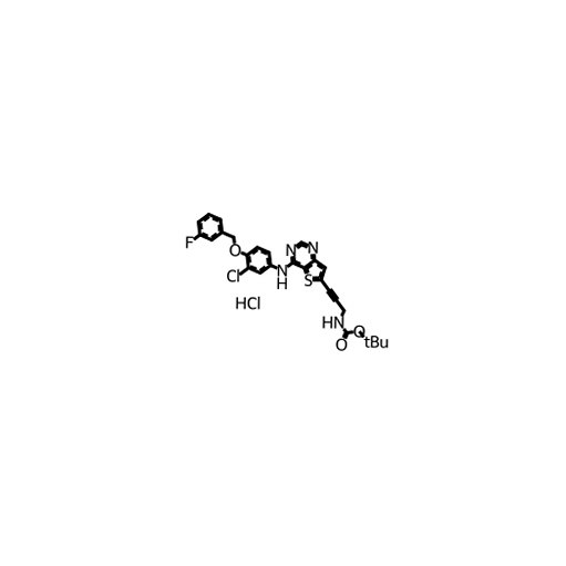 CC(C)(C)OC(=O)NCC#Cc1cc2ncnc(Nc3ccc(OCc4cccc(F)c4)c(Cl)c3)c2s1.Cl